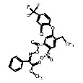 CCc1cc([N+](=O)[O-])c([PH](=O)ON=C(C(=O)OC)c2ccccc2)cc1Oc1ccc(C(F)(F)F)cc1Cl